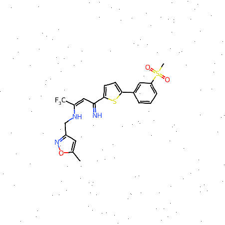 Cc1cc(CN/C(=C\C(=N)c2ccc(-c3cccc(S(C)(=O)=O)c3)s2)C(F)(F)F)no1